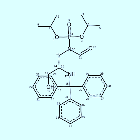 CC(C)OP(=O)(OC(C)C)N(C=O)C[C@@H](CO)NC(c1ccccc1)(c1ccccc1)c1ccccc1